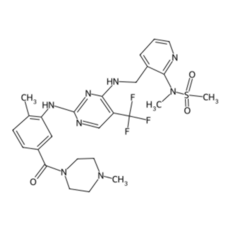 Cc1ccc(C(=O)N2CCN(C)CC2)cc1Nc1ncc(C(F)(F)F)c(NCc2cccnc2N(C)S(C)(=O)=O)n1